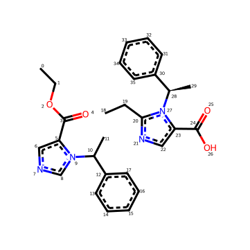 CCOC(=O)c1cncn1C(C)c1ccccc1.CCc1ncc(C(=O)O)n1[C@H](C)c1ccccc1